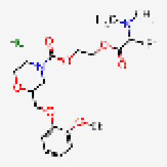 CCOc1ccccc1OCC1CN(C(=O)OCCOC(=O)[C@H](C(C)C)N(C)C)CCO1.Cl